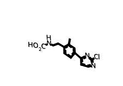 Cc1cc(-c2ccnc(Cl)n2)ccc1CCNC(=O)O